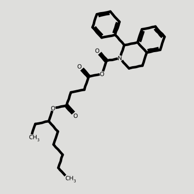 CCCCCC(CC)OC(=O)CCC(=O)OC(=O)N1CCc2ccccc2C1c1ccccc1